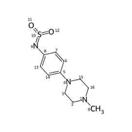 CN1CCN(c2ccc(N=S(=O)=O)cc2)CC1